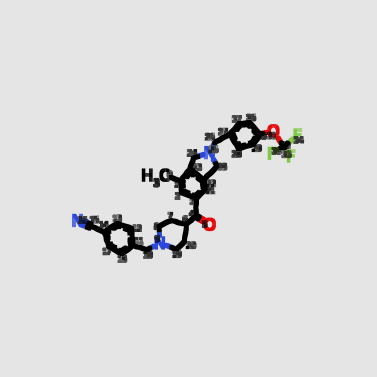 Cc1cc(C(=O)C2CCN(Cc3ccc(C#N)cc3)CC2)cc2c1CN(Cc1ccc(OC(F)(F)F)cc1)C2